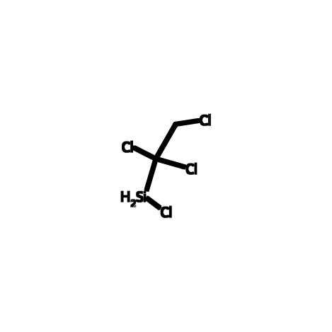 ClCC(Cl)(Cl)[SiH2]Cl